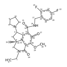 CCN1C[C@@H]2CC(N3CCCC3)c3c(C(=O)NCc4ccc(F)cc4F)c(=O)c(OC)c(n32)C1=O